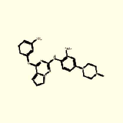 COc1cc(N2CCN(C)CC2)ccc1NC1=NN2CCC=C2C(OC2=CC(N)=CCC2)=N1